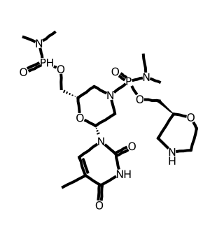 Cc1cn([C@H]2CN(P(=O)(OC[C@@H]3CNCCO3)N(C)C)C[C@@H](CO[PH](=O)N(C)C)O2)c(=O)[nH]c1=O